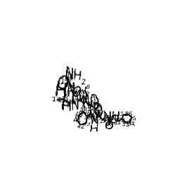 CCCN(CC(=O)N[C@@H](CC(C)C)C(=O)NCC(N)=O)C(=O)C(NC(=O)CNC(=O)OCc1ccccc1)C1CCCCC1